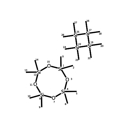 C[Si]1(C)O[Si](C)(C)O[Si](C)(C)O[Si](C)(C)O1.C[Si]1(C)[Si](C)(C)[Si](C)(C)[Si]1(C)C